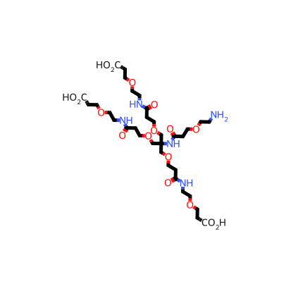 NCCOCCC(=O)NC(COCCC(=O)NCCOCCC(=O)O)(COCCC(=O)NCCOCCC(=O)O)COCCC(=O)NCCOCCC(=O)O